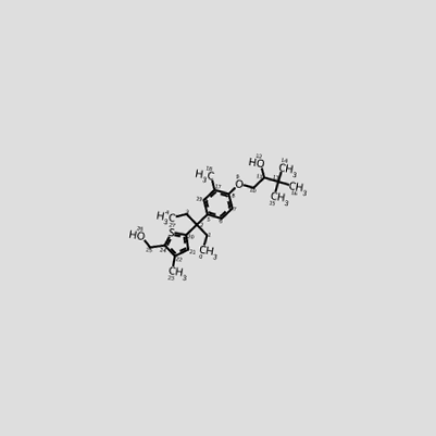 CCC(CC)(c1ccc(OCC(O)C(C)(C)C)c(C)c1)c1cc(C)c(CO)s1